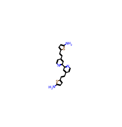 Nc1ccc(/C=C/c2ccnc(-c3cc(/C=C/c4ccc(N)s4)ccn3)c2)s1